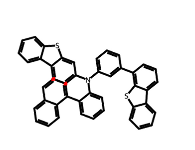 c1cc(-c2cccc3c2sc2ccccc23)cc(N(c2ccc3c(c2)sc2ccccc23)c2ccccc2-c2cccc3ccccc23)c1